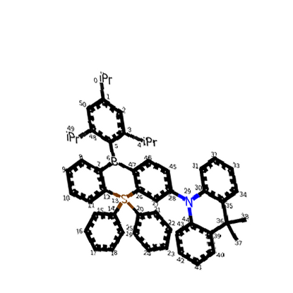 CC(C)c1cc(C(C)C)c(B2c3ccccc3S(c3ccccc3)(c3ccccc3)c3cc(N4c5ccccc5C(C)(C)c5ccccc54)ccc32)c(C(C)C)c1